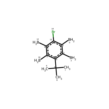 Bc1c(B)c(C(C)(C)C)c(B)c(B)c1Br